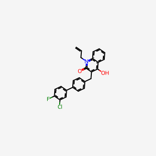 C=CCn1c(=O)c(Cc2ccc(-c3ccc(F)c(Cl)c3)cc2)c(O)c2ccccc21